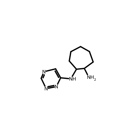 NC1CCCCCC1Nc1cncnn1